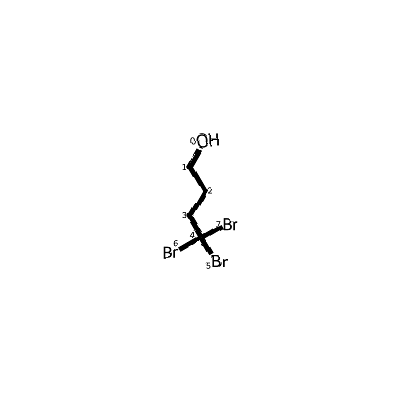 OCCCC(Br)(Br)Br